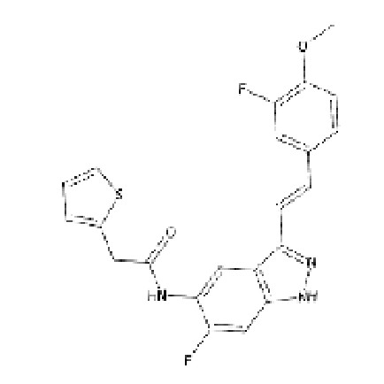 COc1ccc(/C=C/c2n[nH]c3cc(F)c(NC(=O)Cc4cccs4)cc23)cc1F